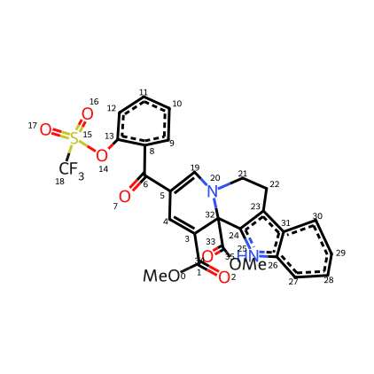 COC(=O)C1=CC(C(=O)c2ccccc2OS(=O)(=O)C(F)(F)F)=CN2CCc3c([nH]c4ccccc34)C12C(=O)OC